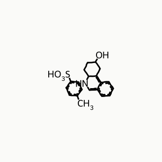 Cc1ccc(S(=O)(=O)O)cc1.OC1CCC2NC=c3ccccc3=C2C1